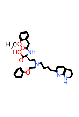 COc1ccccc1CC(=O)N[C@@H](CCN(CCCCc1ccc2c(n1)NCCC2)CCOc1ccccc1)C(=O)O